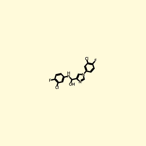 OC(Nc1ccc(F)c(Cl)c1)c1cn(-c2ccc(F)c(Cl)c2)cn1